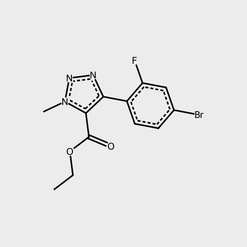 CCOC(=O)c1c(-c2ccc(Br)cc2F)nnn1C